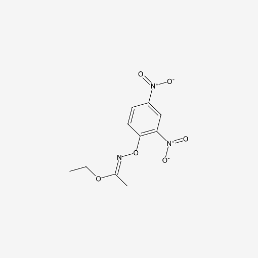 CCO/C(C)=N/Oc1ccc([N+](=O)[O-])cc1[N+](=O)[O-]